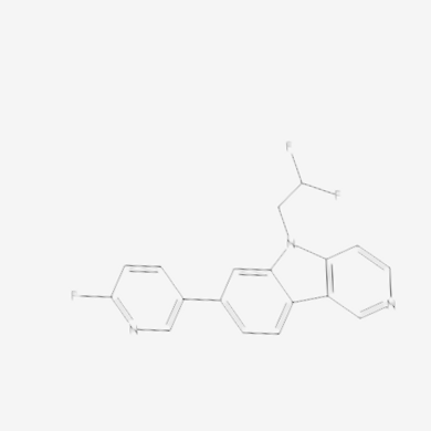 Fc1ccc(-c2ccc3c4cnccc4n(CC(F)F)c3c2)cn1